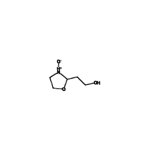 [O-][NH+]1CCOC1CCO